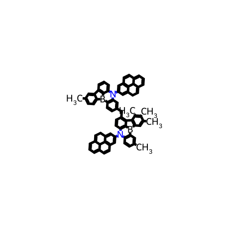 Cc1ccc2c(c1)B1c3cc(C)c(C)c(C)c3-c3c(Cc4ccc5c(c4)N(c4cc6c7c(c4)CC=C4C=CC=C(C=C6)C47)c4cccc6c4B5c4ccc(C)cc4-6)ccc(c31)N2c1cc2c3c(c1)CC=C1C=CC=C(C=C2)C13